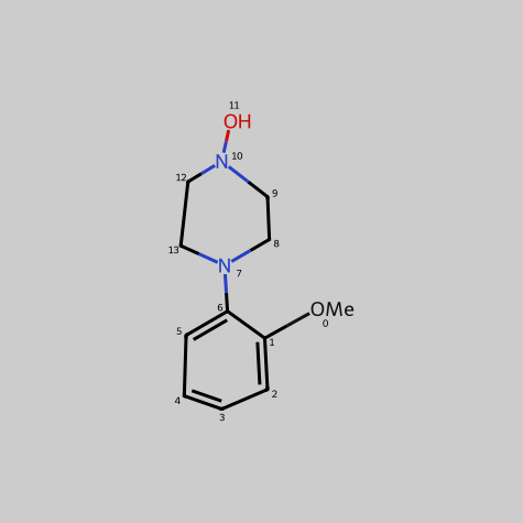 COc1ccccc1N1CCN(O)CC1